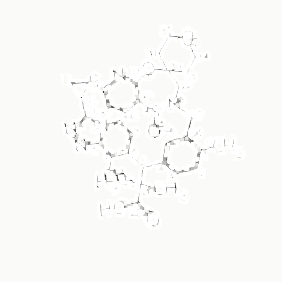 Cc1ccc(C(c2ccn3c(C4CC4)nnc3c2C)C(C)(C)C(=O)O)cc1CN1CC2(CCOCC2)Oc2ncccc2[S+]1[O-]